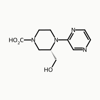 O=C(O)N1CCN(c2cnccn2)[C@H](CO)C1